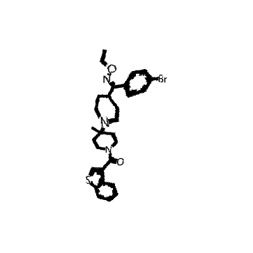 CCO/N=C(\c1ccc(Br)cc1)C1CCN(C2(C)CCN(C(=O)c3csc4ccccc34)CC2)CC1